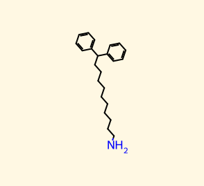 NCCCCCCCCCCC(c1ccccc1)c1ccccc1